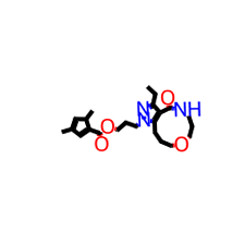 CCc1nn(CCCOC(=O)C2=CC(C)=CC2C)c2c1C(=O)NCCCOCCC2